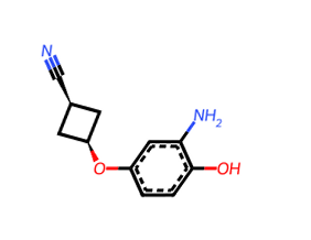 N#C[C@H]1C[C@@H](Oc2ccc(O)c(N)c2)C1